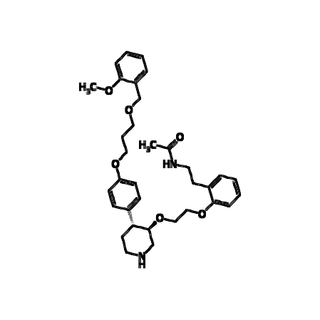 COc1ccccc1COCCCOc1ccc([C@H]2CCNC[C@@H]2OCCOc2ccccc2CCNC(C)=O)cc1